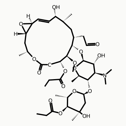 CCC(=O)O[C@@H]1CC(=O)O[C@H](C)C[C@@H]2O[C@H]2/C=C/[C@H](O)[C@H](C)C[C@H](CC=O)[C@H](O[C@@H]2O[C@H](C)[C@@H](O[C@H]3C[C@@](C)(O)[C@@H](OC(=O)CC)[C@H](C)O3)[C@H](N(C)C)[C@H]2O)[C@H]1OC